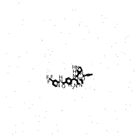 CC#CC(=O)N1C2CN[C@@H](C2)C1c1nc(-c2ccc(C(=O)Nc3cc(C(F)(F)F)ccn3)cc2)c2c(N)nccn12